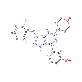 Oc1cccc(-c2nc(N3CCOCC3)nc3c2ncn3Cc2c(F)cccc2F)c1